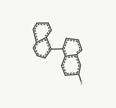 Fc1ccc2c(-c3cccc4ccccc34)cccc2c1